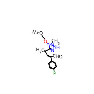 C=C(C=C(C=O)c1ccc(F)cc1)C1=NNN(C)N1OCCOC